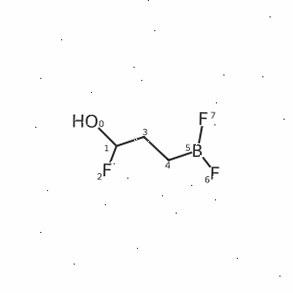 OC(F)CCB(F)F